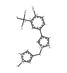 Cn1cc(Cn2cc(-c3ccc(F)c(C(C)(F)F)c3)cn2)cn1